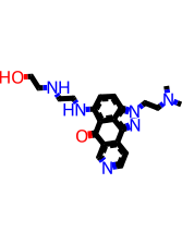 CN(C)CCn1nc2c3c(c(NCCNCCO)ccc31)C(=O)c1cnccc1-2